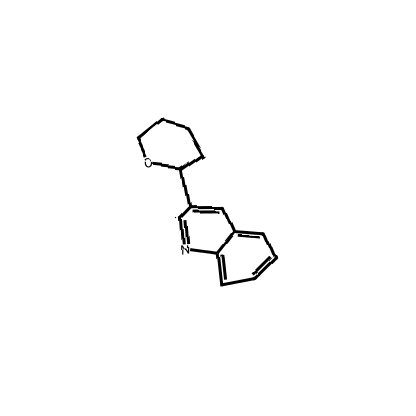 [c]1nc2ccccc2cc1C1CCCCO1